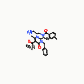 Cc1ccc(C(=O)N(CCCN)C(c2nc(C)c(C(=O)C(=O)O)c(=O)n2Cc2ccccc2)C(C)C)cc1